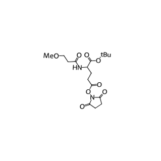 COCCC(=O)NC(CCC(=O)ON1C(=O)CCC1=O)C(=O)OC(C)(C)C